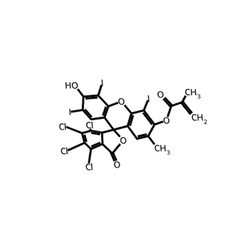 C=C(C)C(=O)Oc1c(C)cc2c(c1I)Oc1c(cc(I)c(O)c1I)C21OC(=O)c2c(Cl)c(Cl)c(Cl)c(Cl)c21